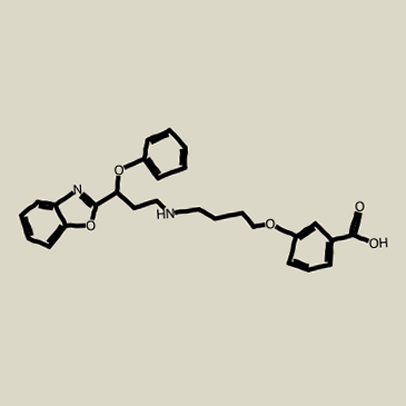 O=C(O)c1cccc(OCCCCNCCC(Oc2ccccc2)c2nc3ccccc3o2)c1